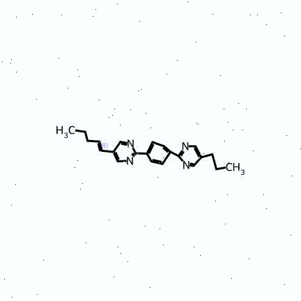 CCC/C=C/c1cnc(-c2ccc(-c3ncc(CCC)cn3)cc2)nc1